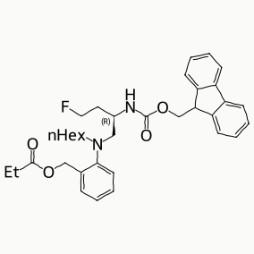 CCCCCCN(C[C@@H](CCF)NC(=O)OCC1c2ccccc2-c2ccccc21)c1ccccc1COC(=O)CC